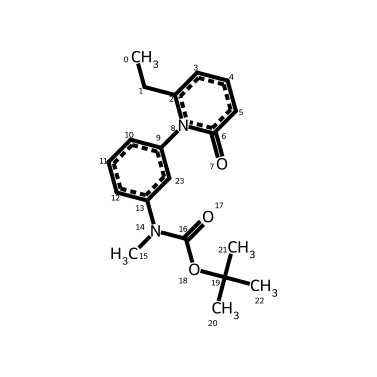 CCc1cccc(=O)n1-c1cccc(N(C)C(=O)OC(C)(C)C)c1